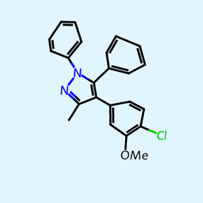 COc1cc(-c2c(C)nn(-c3ccccc3)c2-c2ccccc2)ccc1Cl